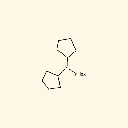 CCCCCC[SiH](C1CCCC1)C1CCCC1